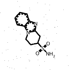 NS(=O)(=O)C1CCn2c(nc3ccccc32)C1